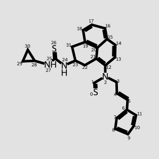 S=CN(CC=Cc1ccccc1)c1ccc2cccc3c2c1CC(NC(=S)NC1CC1)C3